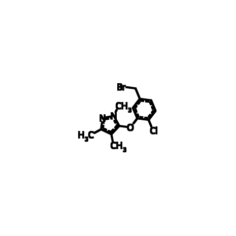 Cc1nn(C)c(Oc2cc(CBr)ccc2Cl)c1C